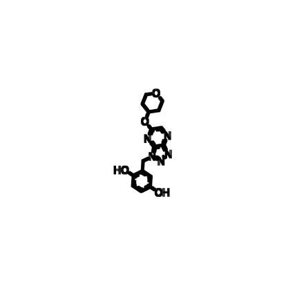 Oc1ccc(O)c(Cn2nnc3ncc(OC4CCOCC4)nc32)c1